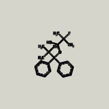 CC(C)(F)C(O)O[Si](c1ccccc1)(c1ccccc1)C(C)(C)C